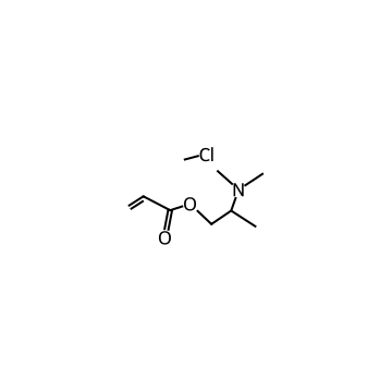 C=CC(=O)OCC(C)N(C)C.CCl